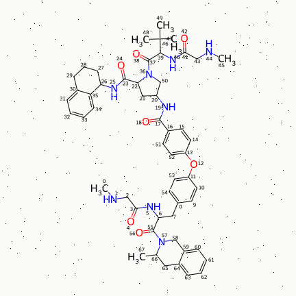 CNCC(=O)NC(Cc1ccc(Oc2ccc(C(=O)NC3CC(C(=O)NC4CCCc5ccccc54)N(C(=O)C(NC(=O)CNC)C(C)(C)C)C3)cc2)cc1)C(=O)N1Cc2ccccc2CC1C